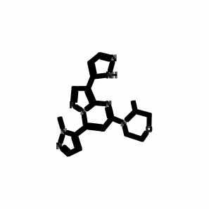 CC1COCCN1c1cc(-c2ccnn2C)n2ncc(-c3ccn[nH]3)c2n1